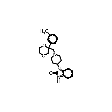 Cc1cccc(C2(CN3CCC(n4c(=O)[nH]c5ccccc54)CC3)COCCO2)c1